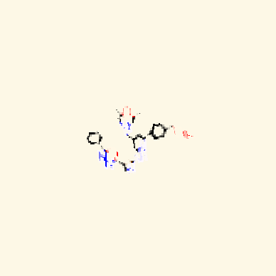 C[C@@H]1CN(Cc2cc(Nc3ncc(-c4nnc(-c5ccccc5)o4)s3)nc(-c3ccc(CO)cc3)c2)C[C@H](C)O1